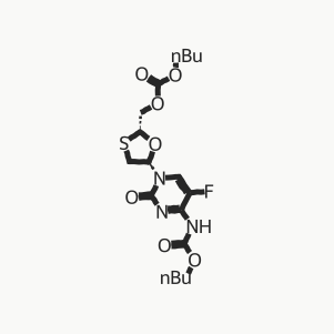 CCCCOC(=O)Nc1nc(=O)n([C@@H]2CS[C@H](COC(=O)OCCCC)O2)cc1F